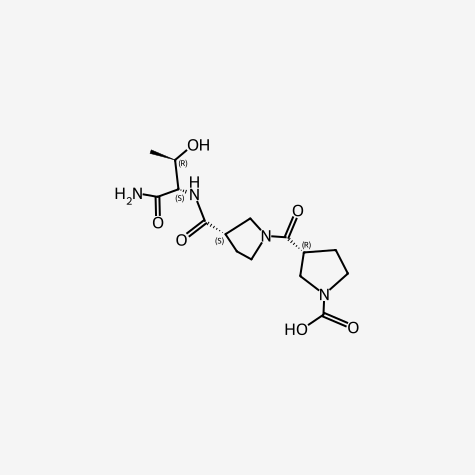 C[C@@H](O)[C@H](NC(=O)[C@H]1CCN(C(=O)[C@@H]2CCN(C(=O)O)C2)C1)C(N)=O